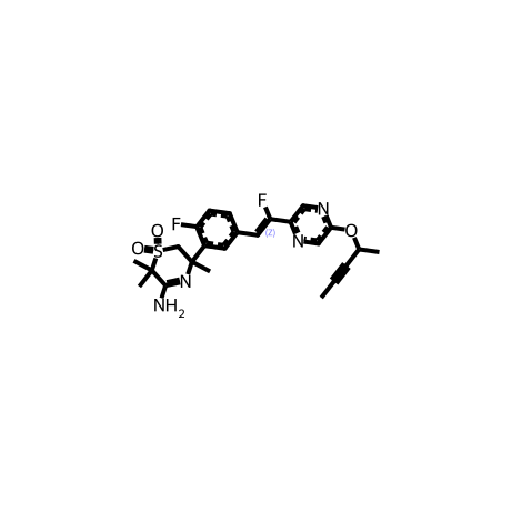 CC#CC(C)Oc1cnc(/C(F)=C/c2ccc(F)c(C3(C)CS(=O)(=O)C(C)(C)C(N)=N3)c2)cn1